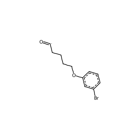 O=[C]CCCCOc1cccc(Br)c1